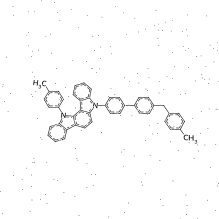 Cc1ccc(Cc2ccc(-c3ccc(-n4c5ccccc5c5c4ccc4c6ccccc6n(-c6ccc(C)cc6)c45)cc3)cc2)cc1